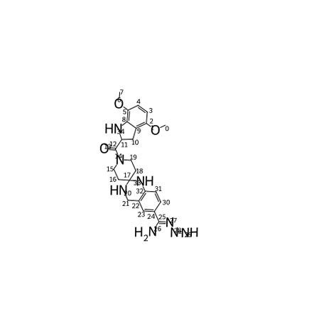 COc1ccc(OC)c2c1CC(C(=O)N1CCC3(CC1)NCc1cc(/C(N)=N/N=N)ccc1N3)N2